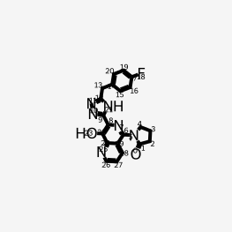 O=C1CCCN1c1nc(-c2nnc(Cc3ccc(F)cc3)[nH]2)c(O)c2ncccc12